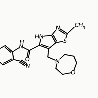 Cc1nc2[nH]c(C(=O)Nc3ccccc3C#N)c(CN3CCCOCC3)c2s1